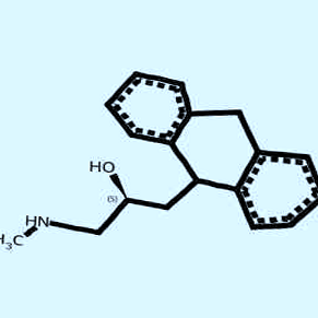 CNC[C@@H](O)CC1c2ccccc2Cc2ccccc21